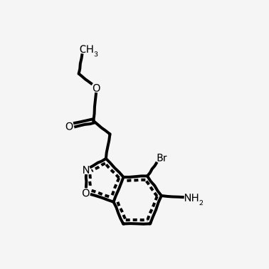 CCOC(=O)Cc1noc2ccc(N)c(Br)c12